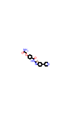 NC(=O)COc1ccc(C(=O)Nc2nc3ccc(-c4ccncc4)cc3s2)cc1